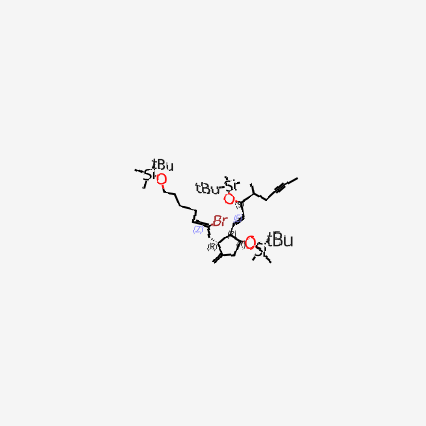 C=C1C[C@@H](O[Si](C)(C)C(C)(C)C)[C@H](/C=C/[C@@H](O[Si](C)(C)C(C)(C)C)C(C)CC#CC)[C@H]1C/C(Br)=C/CCCCO[Si](C)(C)C(C)(C)C